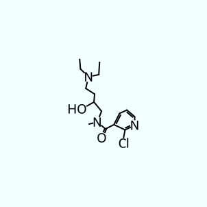 CCN(CC)CCC(O)CN(C)C(=O)c1cccnc1Cl